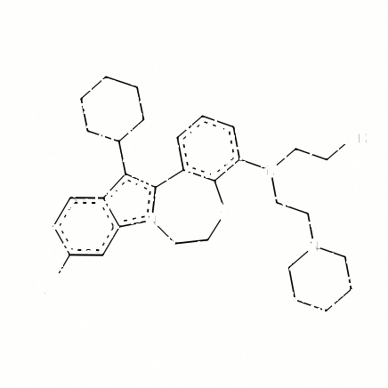 O=C(O)c1ccc2c(C3CCCCC3)c3n(c2c1)CCOc1c-3cccc1N(CCO)CCN1CCCCC1